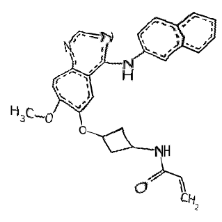 C=CC(=O)NC1CC(Oc2cc3c(Nc4ccc5ccccc5c4)ncnc3cc2OC)C1